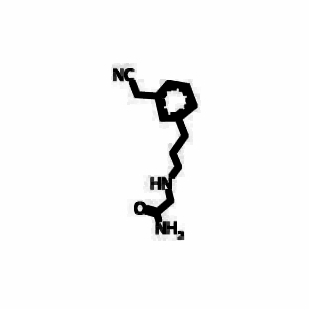 N#CCc1cccc(CCCNCC(N)=O)c1